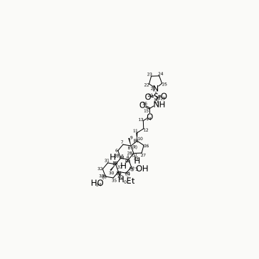 CC[C@H]1[C@@H](O)[C@@H]2[C@H](CC[C@]3(C)[C@@H](CCCOC(=O)NS(=O)(=O)N4CCCC4)CC[C@@H]23)[C@@]2(C)CC[C@@H](O)C[C@@H]12